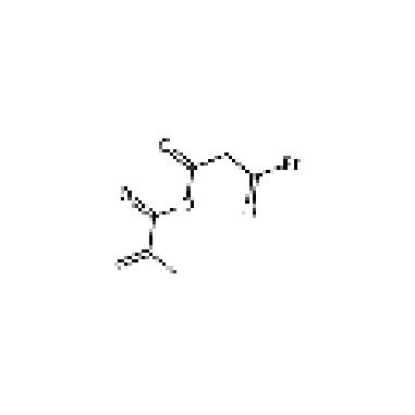 C=C(C)C(=O)OC(=O)CC(=O)CC